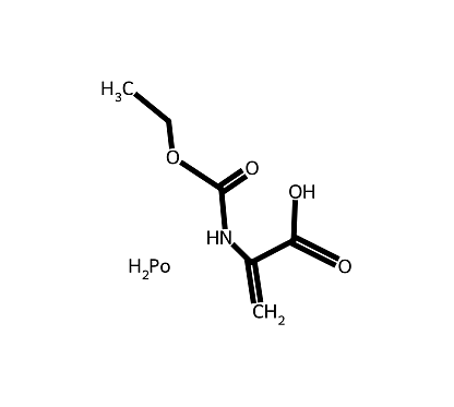 C=C(NC(=O)OCC)C(=O)O.[PoH2]